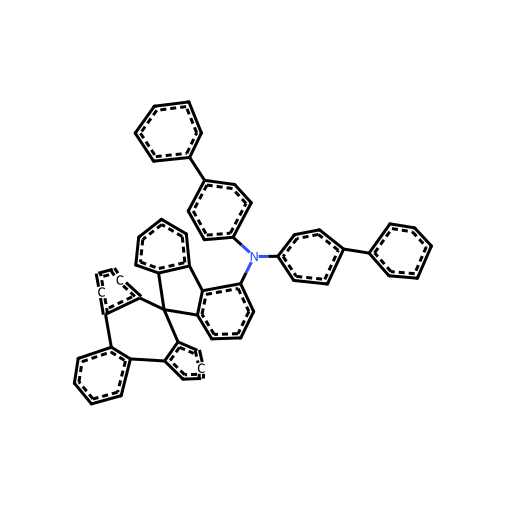 c1ccc(-c2ccc(N(c3ccc(-c4ccccc4)cc3)c3cccc4c3-c3ccccc3C43c4ccccc4-c4ccccc4-c4ccccc43)cc2)cc1